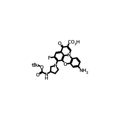 CC(C)(C)OC(=O)NC1CCN(c2c(F)cc3c(=O)c(C(=O)O)cn4c3c2Oc2cc(N)ccc2-4)C1